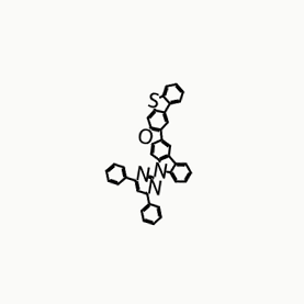 c1ccc(-c2cc(-c3ccccc3)nc(-n3c4ccccc4c4cc5c(cc43)oc3cc4sc6ccccc6c4cc35)n2)cc1